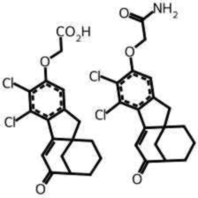 NC(=O)COc1cc2c(c(Cl)c1Cl)C1=CC(=O)C3CCCC1(C2)C3.O=C(O)COc1cc2c(c(Cl)c1Cl)C1=CC(=O)C3CCCC1(C2)C3